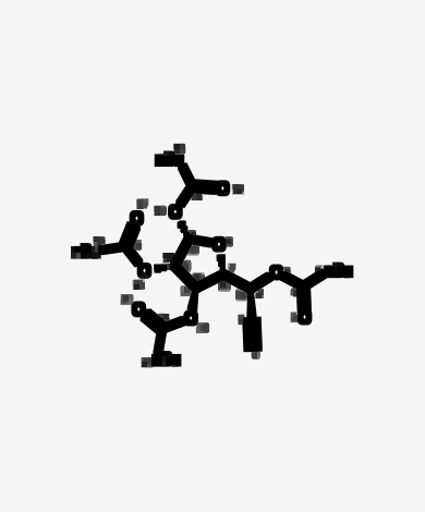 C#C[C@H](OC(=O)CCCC)[C@H]1O[C@@H](OC(=O)CCCC)[C@@H](OC(=O)CCCC)[C@@H]1OC(=O)CCCC